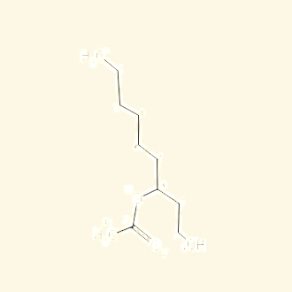 CCCCCCC(CCO)OC(C)=O